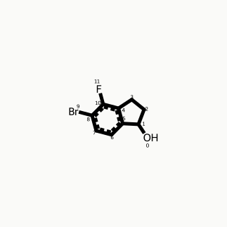 OC1CCc2c1ccc(Br)c2F